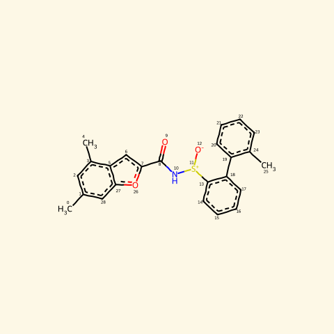 Cc1cc(C)c2cc(C(=O)N[S+]([O-])c3ccccc3-c3ccccc3C)oc2c1